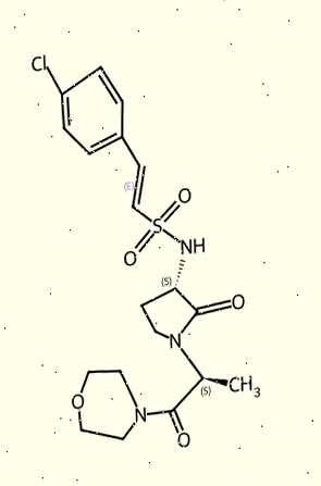 C[C@@H](C(=O)N1CCOCC1)N1CC[C@H](NS(=O)(=O)/C=C/c2ccc(Cl)cc2)C1=O